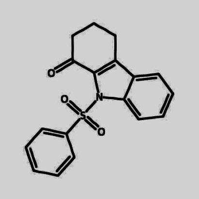 O=C1CCCc2c1n(S(=O)(=O)c1ccccc1)c1ccccc21